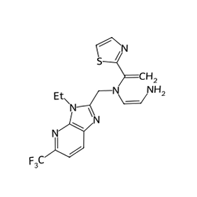 C=C(c1nccs1)N(/C=C\N)Cc1nc2ccc(C(F)(F)F)nc2n1CC